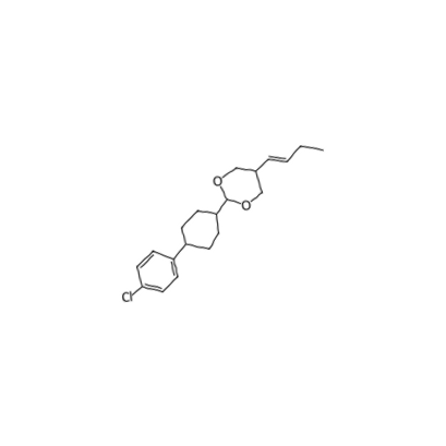 CCC=CC1COC(C2CCC(c3ccc(Cl)cc3)CC2)OC1